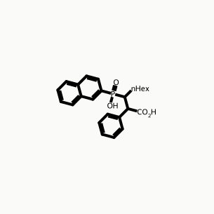 CCCCCCC(C(C(=O)O)c1ccccc1)P(=O)(O)c1ccc2ccccc2c1